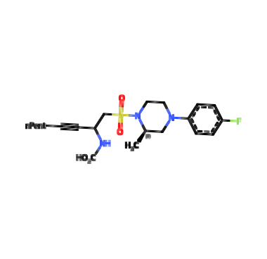 CCCCCC#CC(CS(=O)(=O)N1CCN(c2ccc(F)cc2)C[C@H]1C)NC(=O)O